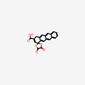 O=C(O)C1=CC2(SC(=O)C(=O)S2)c2cc3cc4ccccc4cc3cc2C1